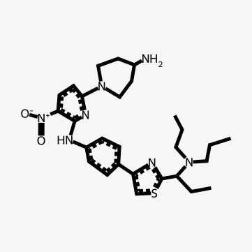 CCCN(CCC)C(CC)c1nc(-c2ccc(Nc3nc(N4CCC(N)CC4)ccc3[N+](=O)[O-])cc2)cs1